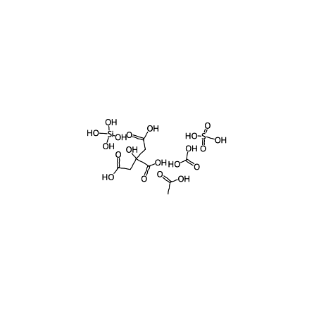 CC(=O)O.O=C(O)CC(O)(CC(=O)O)C(=O)O.O=C(O)O.O=S(=O)(O)O.O[Si](O)(O)O